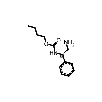 CCCCOC(=O)N[C@@H](CN)c1ccccc1